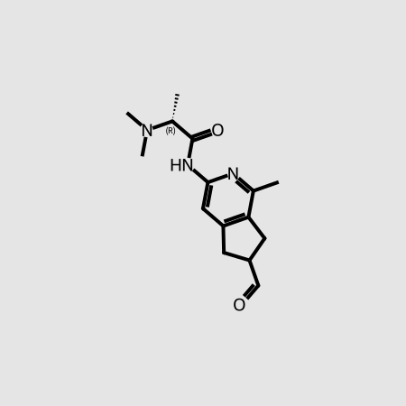 Cc1nc(NC(=O)[C@@H](C)N(C)C)cc2c1CC(C=O)C2